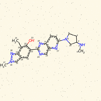 CNC1CCN(c2ccc3nc(-c4cc5cn(C)nc5c(C)c4O)ncc3n2)C1